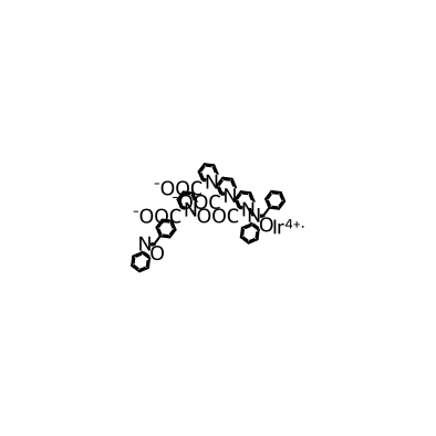 O=C([O-])c1ccccn1.O=C([O-])c1ccccn1.O=C([O-])c1ccccn1.O=C([O-])c1ccccn1.[Ir+4].c1ccc(-c2nc3ccccc3o2)cc1.c1ccc(-c2nc3ccccc3o2)cc1